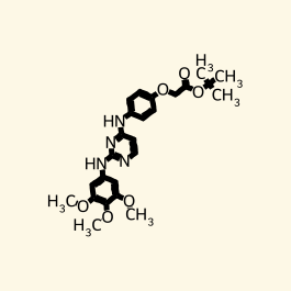 COc1cc(Nc2nccc(Nc3ccc(OCC(=O)OC(C)(C)C)cc3)n2)cc(OC)c1OC